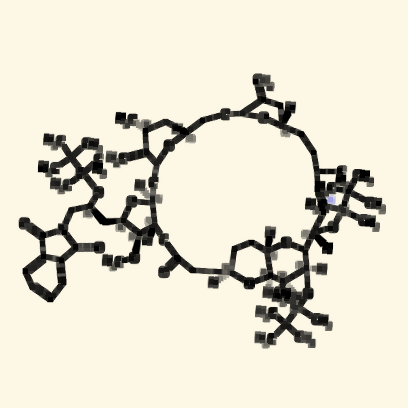 C=C1C[C@@H]2CCC(C)/C=C/[C@H](O[Si](C)(C)C(C)(C)C)C3O[C@H]4CC[C@H](CC(=O)C[C@@H]5[C@@H](OC)[C@@H](C[C@@H](CN6C(=O)c7ccccc7C6=O)O[Si](C)(C)C(C)(C)C)O[C@H]5CC5O[C@@H](CCC1O2)C[C@@H](C)C5=C)O[C@@H]4[C@H](C)[C@@H]3O[Si](C)(C)C(C)(C)C